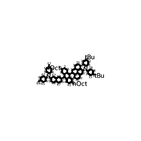 CCCCCCCCc1ccc2c(-c3cc4c5c(c(N(c6ccc(C(C)(C)C)cc6)c6ccc(C(C)(C)C)cc6)cc6c5c3CC=C6)CC=C4)c3cc(CCCCCCCC)ccc3c(-c3ccc4ccc(N(c5ccc(C)cc5)c5ccc(C)cc5)cc4c3)c2c1